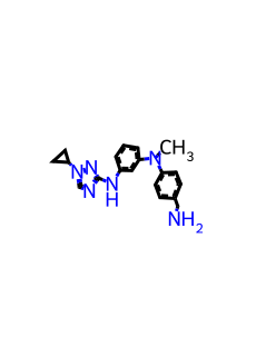 CN(c1ccc(CN)cc1)c1cccc(Nc2ncn(C3CC3)n2)c1